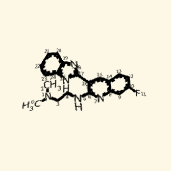 CN(C)CCNc1nc2cc(F)ccc2cc1-c1nc2ccccc2[nH]1